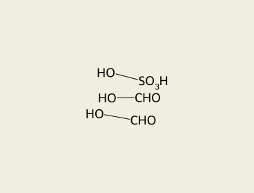 O=CO.O=CO.O=S(=O)(O)O